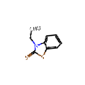 O=[C]Cn1c(=S)sc2ccccc21